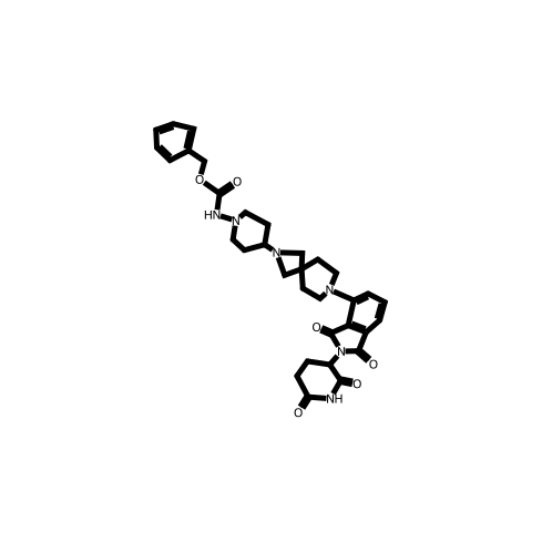 O=C1CCC(N2C(=O)c3cccc(N4CCC5(CC4)CN(C4CCN(NC(=O)OCc6ccccc6)CC4)C5)c3C2=O)C(=O)N1